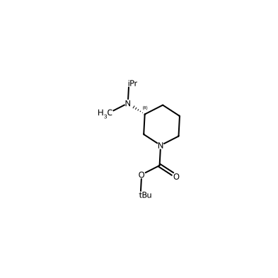 CC(C)N(C)[C@@H]1CCCN(C(=O)OC(C)(C)C)C1